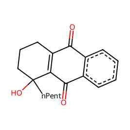 CCCCCC1(O)CCCC2=C1C(=O)c1ccccc1C2=O